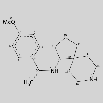 COc1ccc([C@@H](C)N[C@@H]2CCCC23CCNCC3)cc1